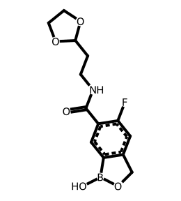 O=C(NCCC1OCCO1)c1cc2c(cc1F)COB2O